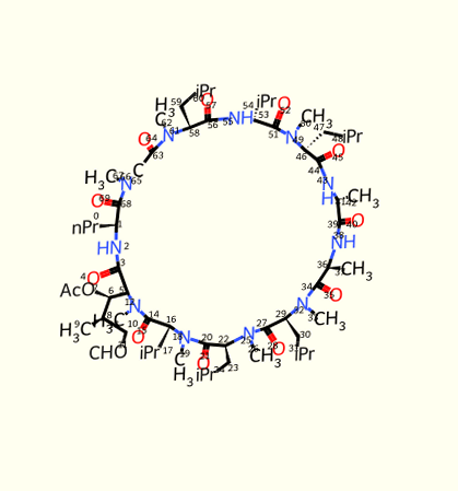 CCC[C@@H]1NC(=O)[C@H]([C@H](OC(C)=O)[C@H](C)CC=O)N(C)C(=O)[C@H](C(C)C)N(C)C(=O)[C@H](CC(C)C)N(C)C(=O)[C@H](CC(C)C)N(C)C(=O)[C@H](C)NC(=O)[C@@H](C)NC(=O)[C@@H](CC(C)C)N(C)C(=O)[C@@H](C(C)C)NC(=O)[C@H](CC(C)C)N(C)C(=O)CN(C)C1=O